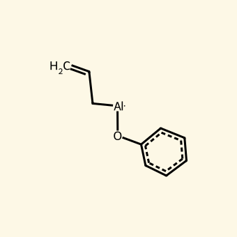 C=C[CH2][Al][O]c1ccccc1